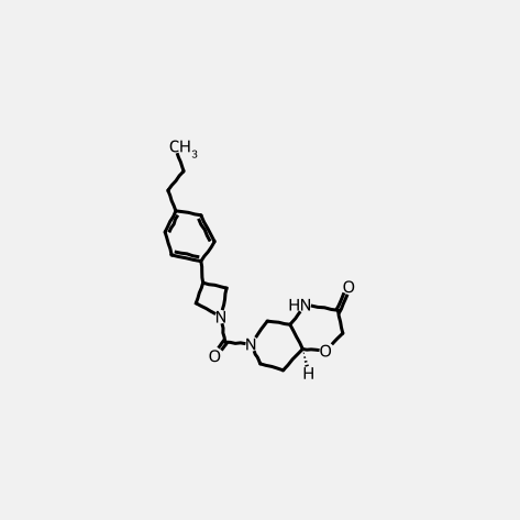 CCCc1ccc(C2CN(C(=O)N3CC[C@@H]4OCC(=O)NC4C3)C2)cc1